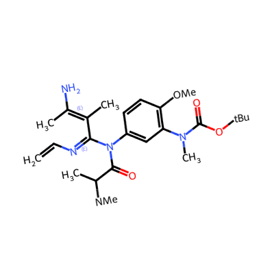 C=C/N=C(\C(C)=C(/C)N)N(C(=O)C(C)NC)c1ccc(OC)c(N(C)C(=O)OC(C)(C)C)c1